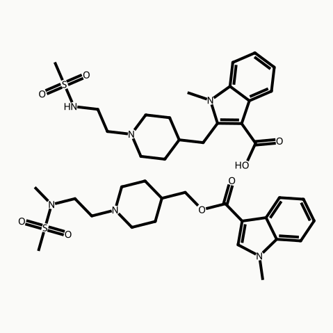 CN(CCN1CCC(COC(=O)c2cn(C)c3ccccc23)CC1)S(C)(=O)=O.Cn1c(CC2CCN(CCNS(C)(=O)=O)CC2)c(C(=O)O)c2ccccc21